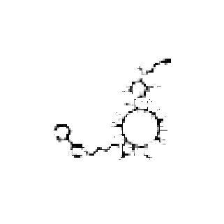 C#CCCN(C)[C@H]1C[C@@H](C)O[C@@H](O[C@@H]2[C@@H](C)C(=O)[C@@H](C)C(=O)O[C@H](CC)[C@@]3(C)OC(=O)N(CCCCn4cnc(-c5cccnc5)c4)C3[C@@H](C)C(=O)[C@H](C)C[C@@]2(C)OC)[C@@H]1O